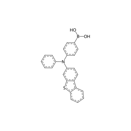 OB(O)c1ccc(N(c2ccccc2)c2ccc3c(c2)sc2ccccc23)cc1